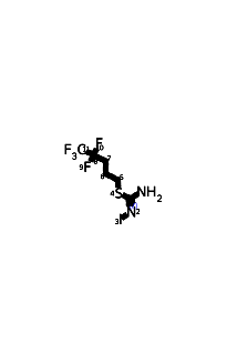 N/C(=N/I)SCCCC(F)(F)C(F)(F)F